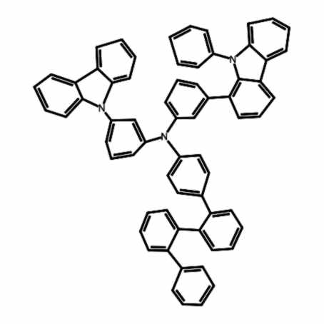 c1ccc(-c2ccccc2-c2ccccc2-c2ccc(N(c3cccc(-c4cccc5c6ccccc6n(-c6ccccc6)c45)c3)c3cccc(-n4c5ccccc5c5ccccc54)c3)cc2)cc1